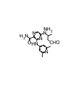 Cc1cc(Nc2nc(N(N)C(C)CC=O)cnc2C(N)=O)cc(C)n1